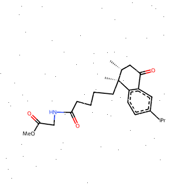 COC(=O)CNC(=O)CCCC[C@]1(C)c2ccc(C(C)C)cc2C(=O)C[C@H]1C